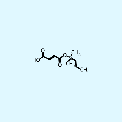 CCC[Si](C)(C)OC(=O)C=CC(=O)O